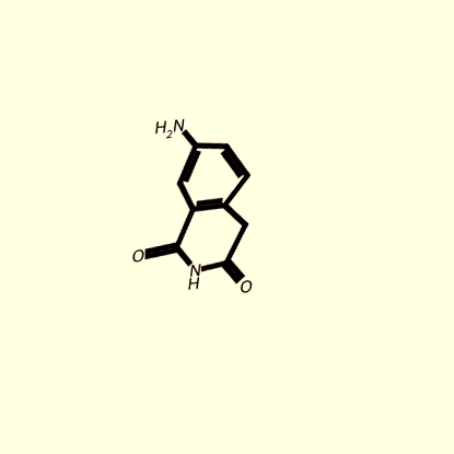 Nc1ccc2c(c1)C(=O)NC(=O)C2